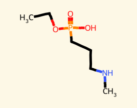 CCOP(=O)(O)CCCNC